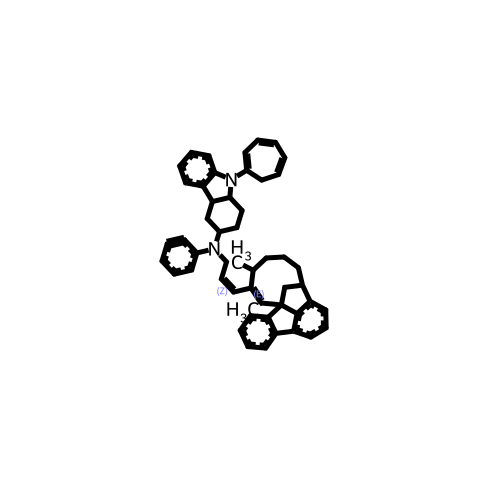 C/C1=C(\C=C/CN(c2c#cccc2)C2CCC3C(C2)c2ccccc2N3C2=CC=CC=CC2)C(C)CCCC2CC13c1ccccc1-c1cccc2c13